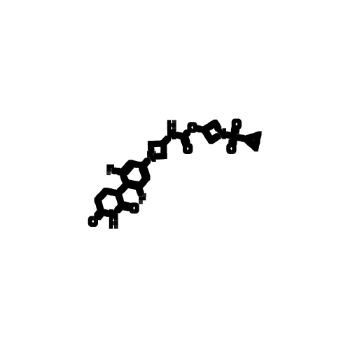 O=C1CCC(c2c(F)cc(N3CC(NC(=O)OC4CN(S(=O)(=O)C5CC5)C4)C3)cc2F)C(=O)N1